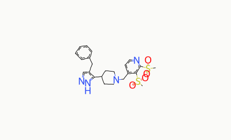 CS(=O)(=O)c1nccc(CN2CCC(c3[nH]ncc3Cc3ccccc3)CC2)c1S(C)(=O)=O